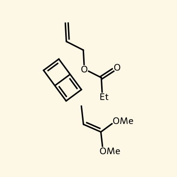 C=CCOC(=O)CC.CC=C(OC)OC.c1cc2ccc1-2